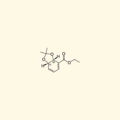 CCOC(=O)C1=CC=C[C@@H]2OC(C)(C)O[C@H]12